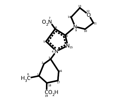 CC1CC(n2cc([N+](=O)[O-])c(N3CCOCC3)n2)CCC1C(=O)O